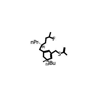 C=C(C)SCC1=C[C@](C)([C@@H](C)CC)CC(C[C@H](CCC)CCC(C)F)=C1